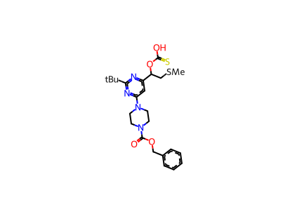 CSCC(OC(O)=S)c1cc(N2CCN(C(=O)OCc3ccccc3)CC2)nc(C(C)(C)C)n1